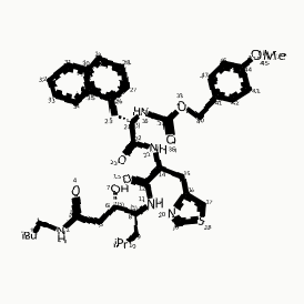 CCC(C)CNC(=O)C[C@H](O)[C@H](CC(C)C)NC(=O)C(Cc1cscn1)NC(=O)[C@H](Cc1cccc2ccccc12)NC(=O)OCc1ccc(OC)cc1